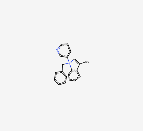 [CH2]CCC1=C[N+](Cc2ccccc2)(c2cccnc2)c2ccccc21